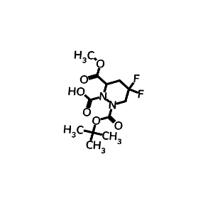 COC(=O)C1CC(F)(F)CN(C(=O)OC(C)(C)C)N1C(=O)O